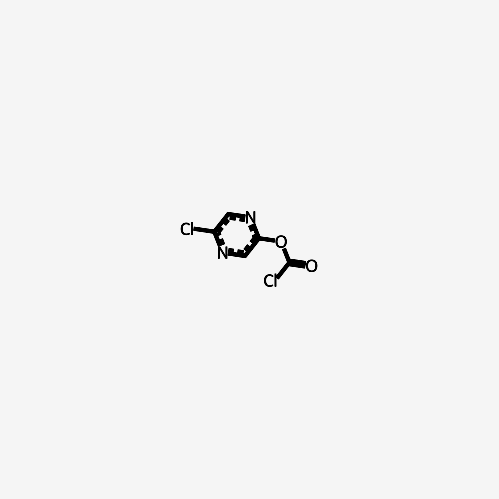 O=C(Cl)Oc1cnc(Cl)cn1